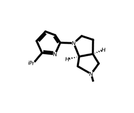 CC(C)c1cccc(N2CC[C@H]3CN(C)C[C@H]32)n1